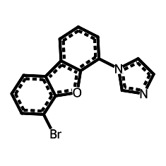 Brc1cccc2c1oc1c(-n3ccnc3)cccc12